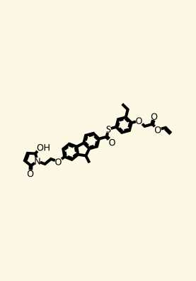 C=COC(=O)COc1ccc(SC(=O)c2ccc3c(c2)C(C)c2cc(OCCN4C(=O)C=CC4O)ccc2-3)cc1CC